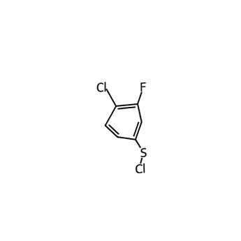 Fc1cc(SCl)ccc1Cl